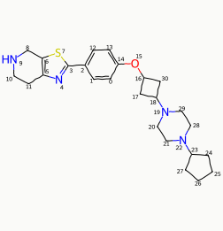 c1cc(-c2nc3c(s2)CNCC3)ccc1OC1CC(N2CCN(C3CCCC3)CC2)C1